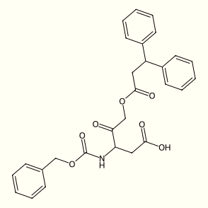 O=C(O)CC(NC(=O)OCc1ccccc1)C(=O)COC(=O)CC(c1ccccc1)c1ccccc1